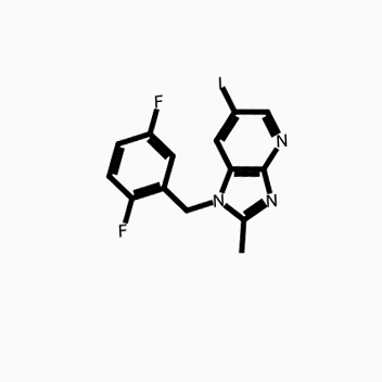 Cc1nc2ncc(I)cc2n1Cc1cc(F)ccc1F